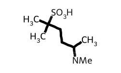 CNC(C)CCC(C)(C)S(=O)(=O)O